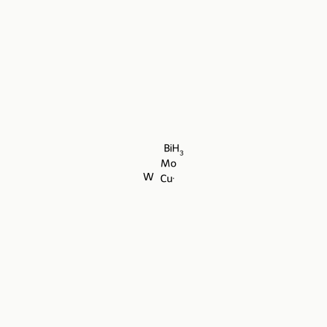 [BiH3].[Cu].[Mo].[W]